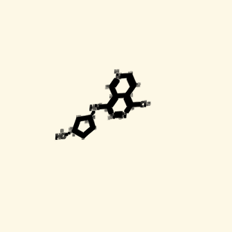 O[C@H]1CC[C@@H](Nc2nnc(Cl)c3ccncc23)C1